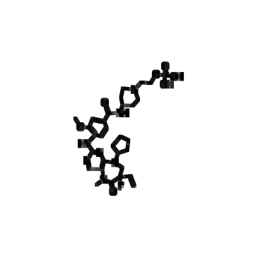 C=CC1(F)CN(C2CCCC2)c2nc(Nc3ccc(C(=O)NC4CCN(CCOP(=O)(O)O)CC4)cc3OC)ncc2N(C)C1=O